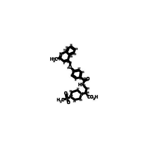 Cc1cc(COc2ccc(C(=O)NC[C@@H](C(=O)O)N3CCN(S(C)(=O)=O)CC3)cc2)c2ccccc2n1